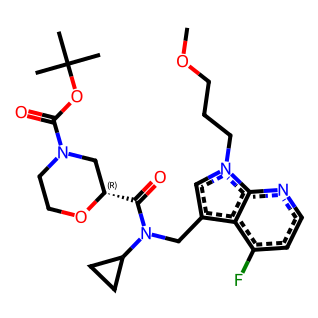 COCCCn1cc(CN(C(=O)[C@H]2CN(C(=O)OC(C)(C)C)CCO2)C2CC2)c2c(F)ccnc21